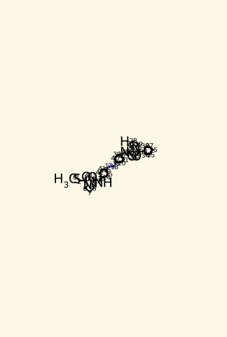 CSCC(=O)N1CCC[C@H]1C(=O)Nc1ccc(/C=C/c2ccc(NC(=O)[C@@H]3CCCN3C(=O)c3ccccc3)cc2)cc1